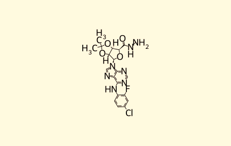 CC1(C)O[C@@H]2[C@@H](O1)[C@H](n1cnc3c(Nc4ccc(Cl)cc4F)ncnc31)O[C@@H]2C(=O)NN